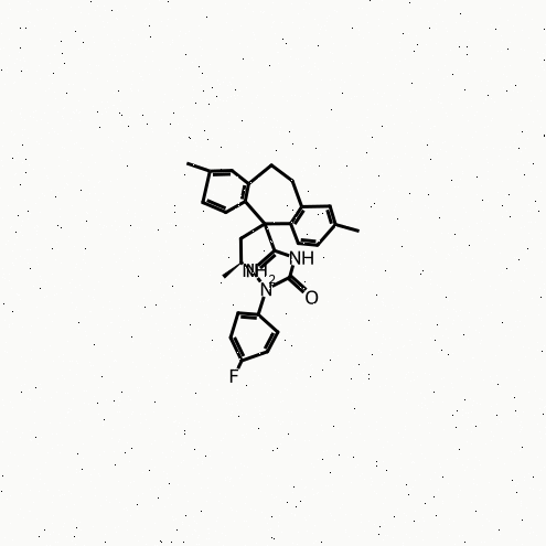 Cc1ccc2c(c1)CCc1cc(C)ccc1C2(C[C@H](C)N)c1nn(-c2ccc(F)cc2)c(=O)[nH]1